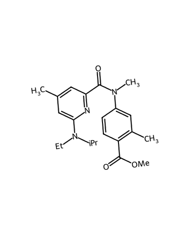 CCN(c1cc(C)cc(C(=O)N(C)c2ccc(C(=O)OC)c(C)c2)n1)C(C)C